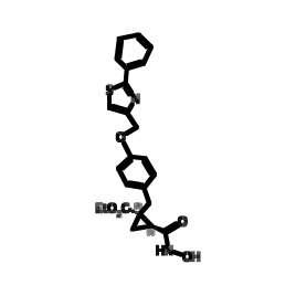 CCOC(=O)[C@@]1(Cc2ccc(OCc3csc(-c4ccccc4)n3)cc2)C[C@@H]1C(=O)NO